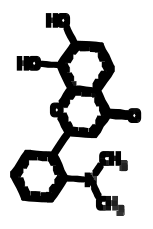 CN(C)c1ccccc1-c1cc(=O)c2ccc(O)c(O)c2o1